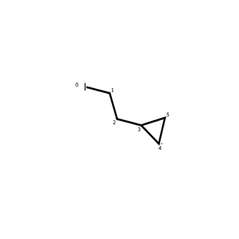 ICCC1[CH]C1